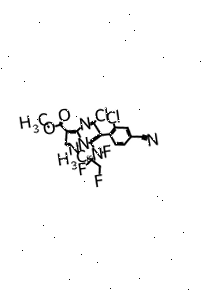 COC(=O)c1cnn2c(N(F)[C@@](C)(F)CF)c(-c3ccc(C#N)cc3Cl)c(Cl)nc12